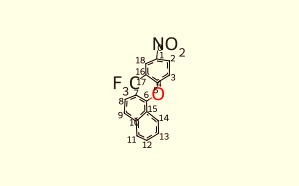 O=[N+]([O-])c1ccc(Oc2cccc3ccccc23)c(C(F)(F)F)c1